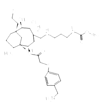 CC(=O)CC[C@]12CC[C@@H](C)[C@](C)(C1)[C@H](OC(=O)CSc1ccc(CN)cc1)C[C@](C)(CNCCCNC(=O)OC(C)(C)C)[C@@H](O)[C@@H]2C